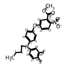 CCCCN(c1ccc(Oc2ccc([N+](=O)[O-])c(C(=O)OC)c2)cc1)c1ccc(F)c(F)c1